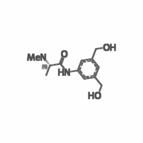 CN[C@@H](C)C(=O)Nc1cc(CO)cc(CO)c1